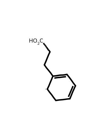 O=C(O)CCC1=CC=CC[CH]1